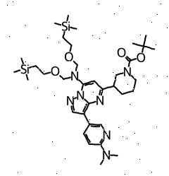 CN(C)c1ccc(-c2cnn3c(N(COCC[Si](C)(C)C)COCC[Si](C)(C)C)cc(C4CCCN(C(=O)OC(C)(C)C)C4)nc23)cn1